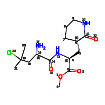 COC(=O)[C@H](C[C@@H]1CCCNC1=O)NC(=O)[C@@H](N)CC(C)(C)Cl